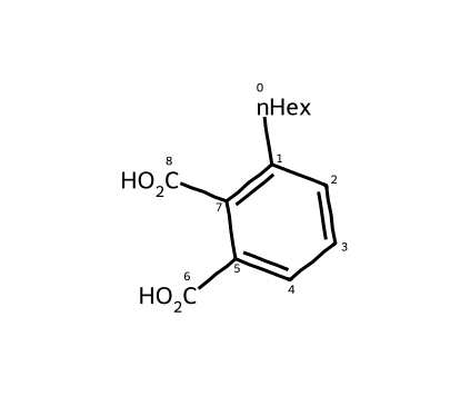 CCCCCCc1cccc(C(=O)O)c1C(=O)O